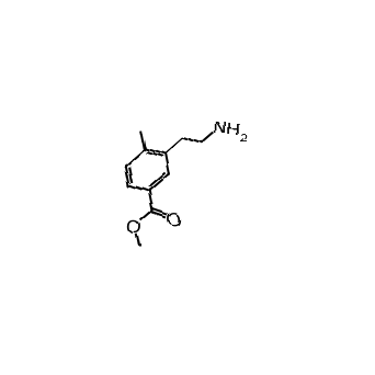 COC(=O)c1ccc(C)c(CCN)c1